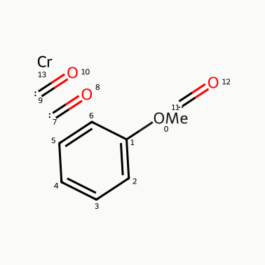 COc1ccccc1.[C]=O.[C]=O.[C]=O.[Cr]